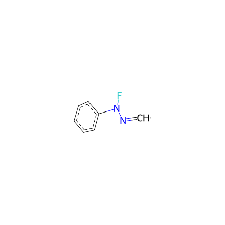 [CH]=NN(F)c1ccccc1